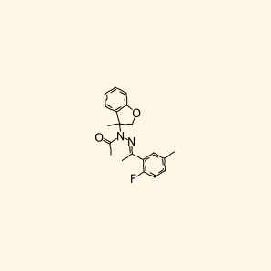 CC(=O)N(N=C(C)c1cc(C)ccc1F)C1(C)COc2ccccc21